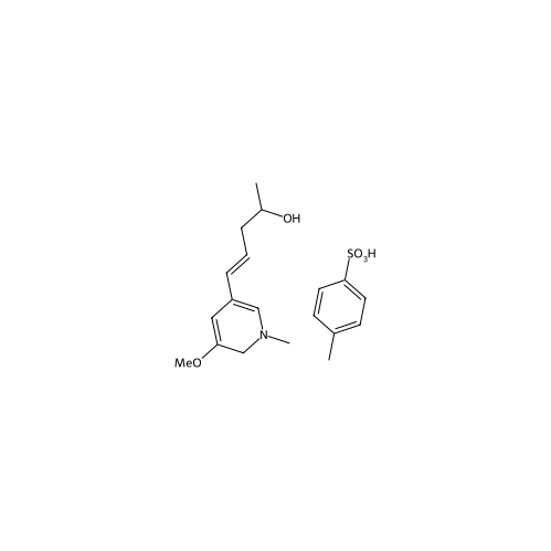 COC1=CC(/C=C/CC(C)O)=CN(C)C1.Cc1ccc(S(=O)(=O)O)cc1